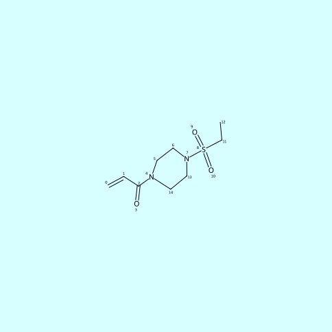 C=CC(=O)N1CCN(S(=O)(=O)CC)CC1